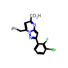 CC(C)Cc1cc(C(=O)O)nc2cc(-c3cccc(Br)c3F)nn12